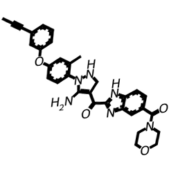 CC#Cc1cccc(Oc2ccc(N3NCC(C(=O)c4nc5cc(C(=O)N6CCOCC6)ccc5[nH]4)=C3N)c(C)c2)c1